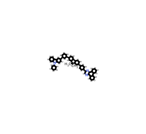 CC1(C)c2cc(-c3ccc(-c4cnc5c6ccccc6c6ccccc6c5n4)cc3)ccc2-c2ccc(-c3cccc(-c4ccc5c(c4)c4ccccc4n5-c4ccccc4)c3)cc21